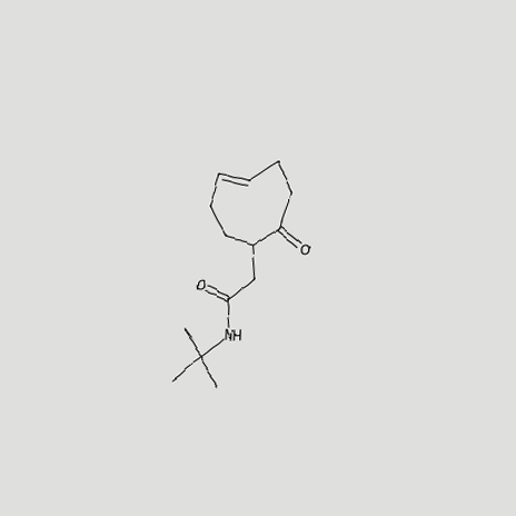 CC(C)(C)NC(=O)CC1CC/C=C/CCC1=O